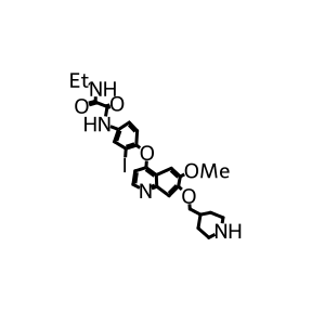 CCNC(=O)C(=O)Nc1ccc(Oc2ccnc3cc(OCC4CCNCC4)c(OC)cc23)c(I)c1